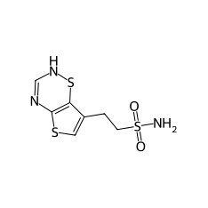 NS(=O)(=O)CCc1csc2c1SNC=N2